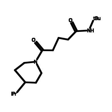 CC(C)C1CCN(C(=O)CCCC(=O)NC(C)(C)C)CC1